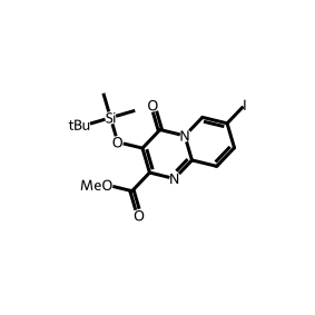 COC(=O)c1nc2ccc(I)cn2c(=O)c1O[Si](C)(C)C(C)(C)C